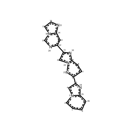 c1ccn2cc(-c3ccc4nc(-c5cc6nccn6cn5)cn4n3)nc2c1